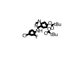 CC(C)(C)C(=O)Oc1cc2ncnc(Nc3ccc(Cl)cc3F)c2cc1OC(=O)C(C)(C)C